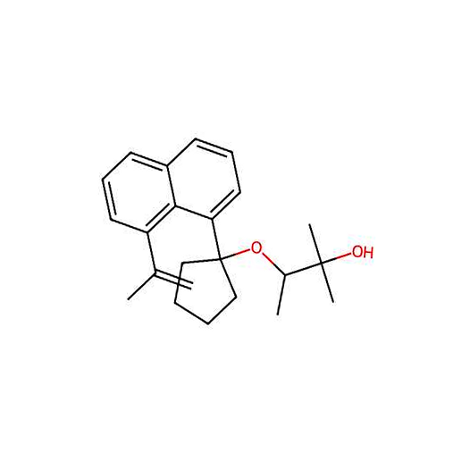 C=C(C)c1cccc2cccc(C3(OC(C)C(C)(C)O)CCCC3)c12